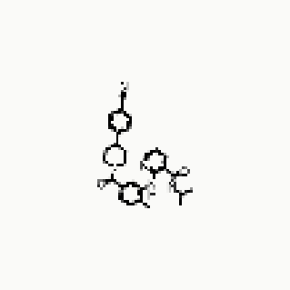 Cc1ccc(C(=O)N2CCC(c3ccc(C#N)cc3)CC2)cc1Nc1ncccc1C(=O)NC(C)C